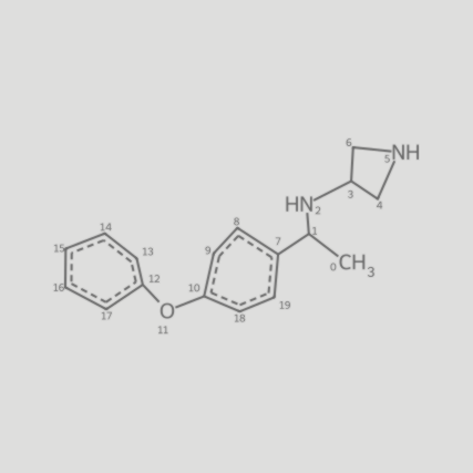 CC(NC1CNC1)c1ccc(Oc2ccccc2)cc1